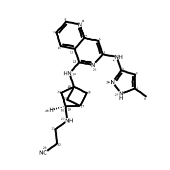 Cc1cc(Nc2cc3ncccc3c(NC34CC(C3)[C@@H](NCCC#N)C4)n2)n[nH]1